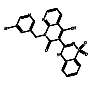 O=c1c(C2=NS(=O)(=O)c3ccccc3N2)c(O)c2cccnc2n1Cc1cncc(Br)c1